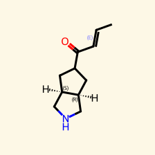 C/C=C/C(=O)C1C[C@H]2CNC[C@H]2C1